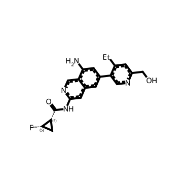 CCc1cc(CO)ncc1-c1cc(N)c2cnc(NC(=O)[C@@H]3C[C@@H]3F)cc2c1